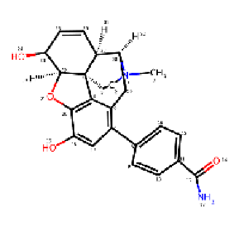 CN1CC[C@]23c4c5c(-c6ccc(C(N)=O)cc6)cc(O)c4O[C@H]2[C@@H](O)C=C[C@H]3[C@H]1C5